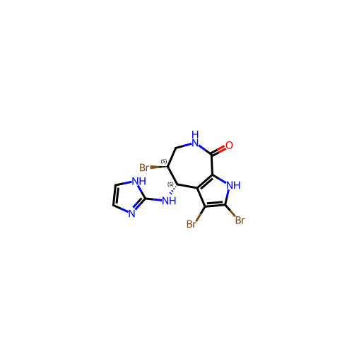 O=C1NC[C@H](Br)[C@@H](Nc2ncc[nH]2)c2c1[nH]c(Br)c2Br